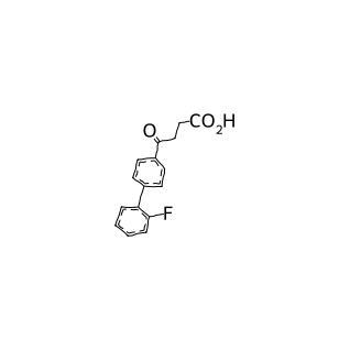 O=C(O)CCC(=O)c1ccc(-c2ccccc2F)cc1